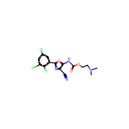 CN(C)CCOC(=O)Nc1oc(-c2cc(Cl)cc(Cl)c2Cl)nc1C#N